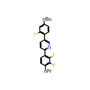 CCCCc1ccc(-c2ccc(-c3ccc(CCC)c(F)c3F)nc2)c(F)c1